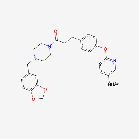 CC(=O)Nc1ccc(Oc2ccc(CCC(=O)N3CCN(Cc4ccc5c(c4)OCO5)CC3)cc2)nc1